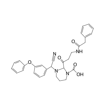 N#CC(c1cccc(Oc2ccccc2)c1)N1CCCN(C(=O)O)C1C(=O)CCNC(=O)Cc1ccccc1